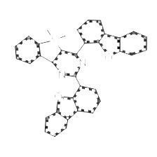 C[Si]1(C)c2ccccc2-c2nc(-c3cccc4c3oc3ccccc34)nc(-c3cccc4c3oc3ccccc34)c21